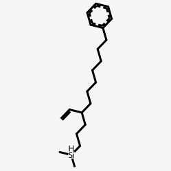 C=CC(CCCCCCCc1ccccc1)CCC[SiH](C)C